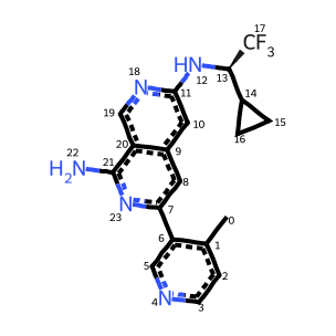 Cc1ccncc1-c1cc2cc(N[C@H](C3CC3)C(F)(F)F)ncc2c(N)n1